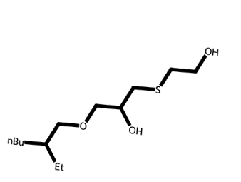 CCCCC(CC)COCC(O)CSCCO